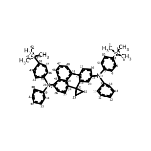 C[Si](C)(C)c1ccc(N(c2ccccc2)c2ccc3c(c2)C2(CC2)c2ccc(N(c4ccccc4)c4ccc([Si](C)(C)C)cc4)c4cccc-3c24)cc1